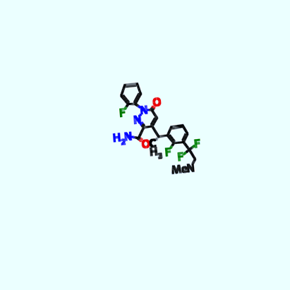 CNCC(F)(F)c1cccc([C@H](C)c2cc(=O)n(-c3ccccc3F)nc2C(N)=O)c1F